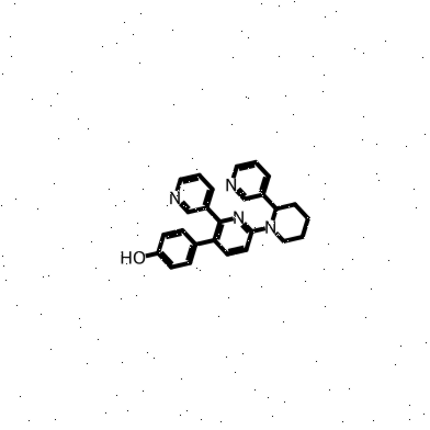 Oc1ccc(-c2ccc(N3CCCCC3c3cccnc3)nc2-c2cccnc2)cc1